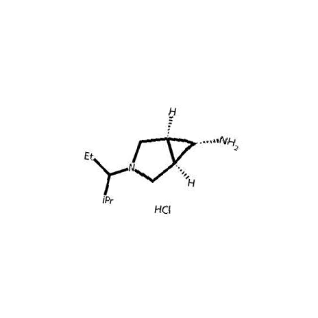 CCC(C(C)C)N1C[C@@H]2[C@@H](N)[C@@H]2C1.Cl